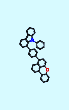 c1ccc(-n2c3ccccc3c3cccc(-c4ccc(-c5ccc6c7c(cccc57)-c5ccccc5O6)cc4)c32)cc1